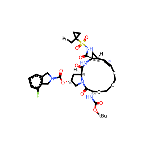 CC(C)CC1(S(=O)(=O)NC(=O)[C@@]23C[C@H]2/C=C\CCCCC[C@H](NC(=O)OC(C)(C)C)C(=O)N2C[C@H](OC(=O)N4Cc5cccc(F)c5C4)C[C@H]2C(=O)N3)CC1